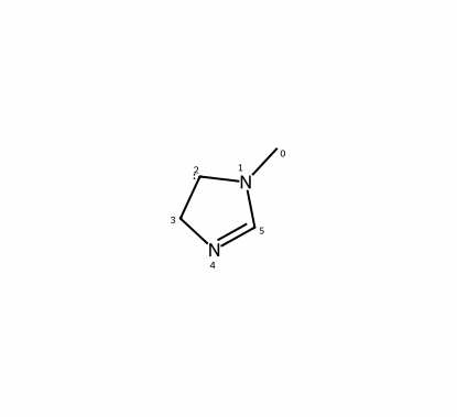 CN1[C]CN=C1